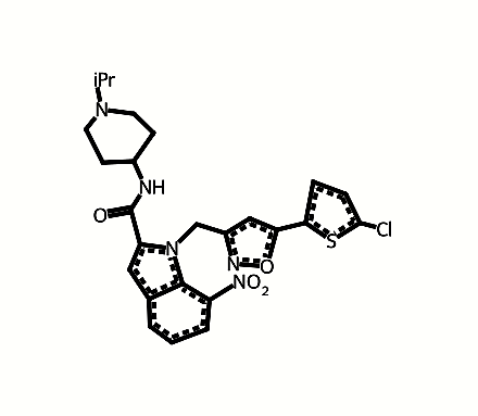 CC(C)N1CCC(NC(=O)c2cc3cccc([N+](=O)[O-])c3n2Cc2cc(-c3ccc(Cl)s3)on2)CC1